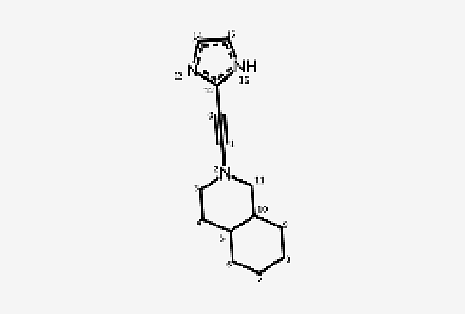 C(#CN1CCC2CCCCC2C1)c1n[c]c[nH]1